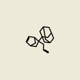 C=CCC1(C23CC4CC(CC(C4)C2)C3)CC2C=CC1C2